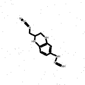 [N-]=[N+]=NCC1CNc2cc(NN=N)ccc2N1